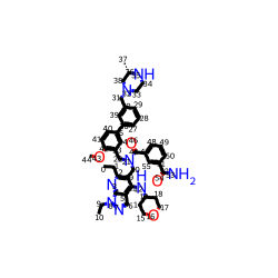 CCc1nc2c(cnn2CC)c(NC2CCOCC2)c1CN(Cc1cc(-c2cccc(CN3CCN[C@@H](C)C3)c2)ccc1OC)C(=O)c1cccc(C(N)=O)c1